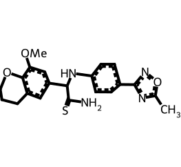 COc1cc(C(Nc2ccc(-c3noc(C)n3)cc2)C(N)=S)cc2c1OCCC2